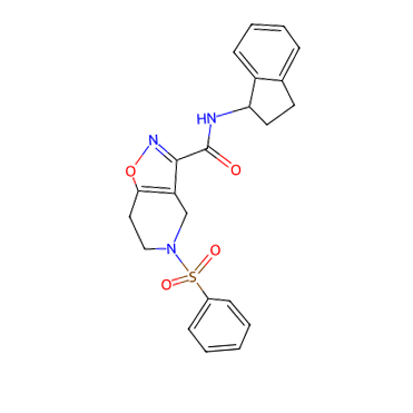 O=C(NC1CCc2ccccc21)c1noc2c1CN(S(=O)(=O)c1ccccc1)CC2